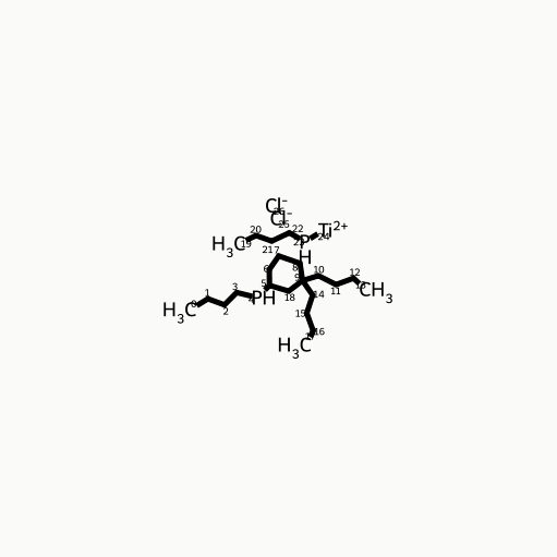 CCCCPC1CCCC(CCCC)(CCCC)C1.CCCC[PH][Ti+2].[Cl-].[Cl-]